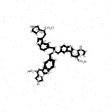 O=C(O)[C@@H](Cc1csc2ccc(CN(Cc3ccc4scc(C[C@H](C(=O)O)[C@H]5CCNC5)c4c3)Cc3ccc4scc(C[C@H](C(=O)O)[C@H]5CCNC5)c4c3)cc12)[C@H]1CCNC1